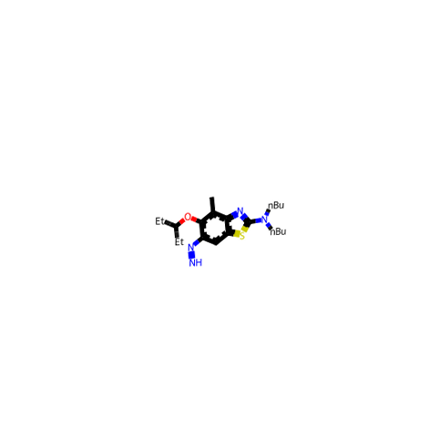 CCCCN(CCCC)c1nc2c(C)c(OC(CC)CC)c(N=N)cc2s1